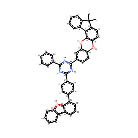 CC1(C)c2ccccc2-c2c1ccc1c2Oc2cc(-c3nc(-c4ccccc4)nc(-c4ccc(-c5cccc6c5oc5ccccc56)cc4)n3)ccc2O1